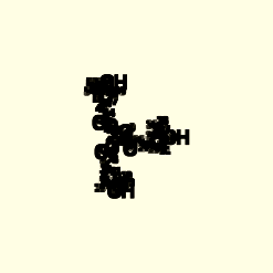 COCC(COC(=O)CCc1cc(C)c(O)c(C(C)(C)C)c1)(COC(=O)CCc1cc(C)c(O)c(C(C)(C)C)c1)COC(=O)CCc1cc(C)c(O)c(C(C)(C)C)c1